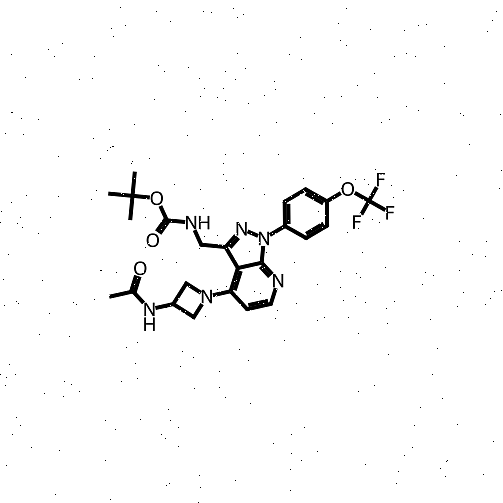 CC(=O)NC1CN(c2ccnc3c2c(CNC(=O)OC(C)(C)C)nn3-c2ccc(OC(F)(F)F)cc2)C1